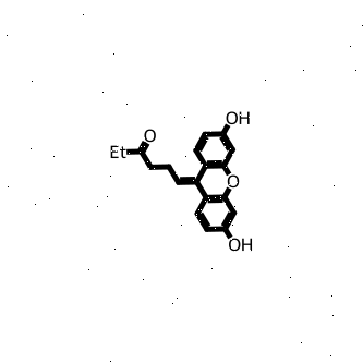 CCC(=O)CCC=C1c2ccc(O)cc2Oc2cc(O)ccc21